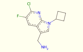 NCc1cn(C2CCC2)c2nc(Cl)c(F)cc12